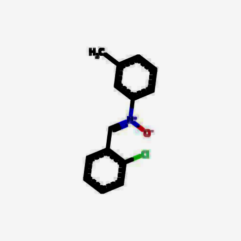 Cc1cccc([N+]([O-])=Cc2ccccc2Cl)c1